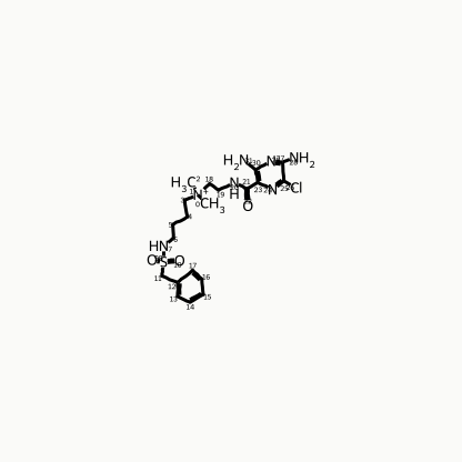 C[N+](C)(CCCCNS(=O)(=O)Cc1ccccc1)CCNC(=O)c1nc(Cl)c(N)nc1N